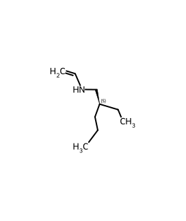 C=CNC[C@@H](CC)CCC